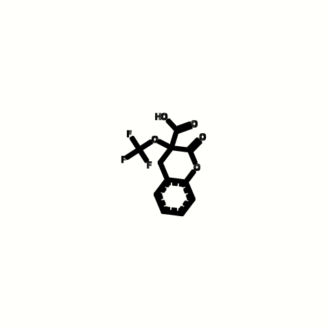 O=C(O)C1(OC(F)(F)F)Cc2ccccc2OC1=O